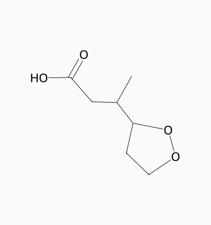 CC(CC(=O)O)C1CCOO1